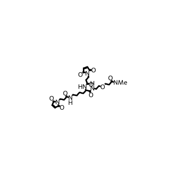 CNC(=O)CCOCCNC(=O)C(CCCCNC(=O)CCN1C(=O)C=CC1=O)NC(=O)CCN1C(=O)C=CC1=O